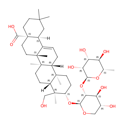 C[C@@H]1O[C@@H](O[C@H]2[C@H](O[C@H]3CC[C@@]4(C)[C@@H](CC[C@]5(C)[C@@H]4CC=C4[C@@H]6CC(C)(C)CC[C@]6(C(=O)O)CC[C@]45C)[C@]3(C)CO)OC[C@@H](O)[C@@H]2O)[C@H](O)[C@H](O)[C@H]1O